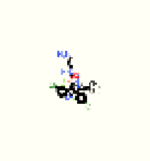 CC(C)(C)C[C@@H]1N[C@H](OC(=O)NCCCN)[C@H](c2cccc(Cl)c2F)[C@@]1(C#N)c1ccc(Cl)cc1F